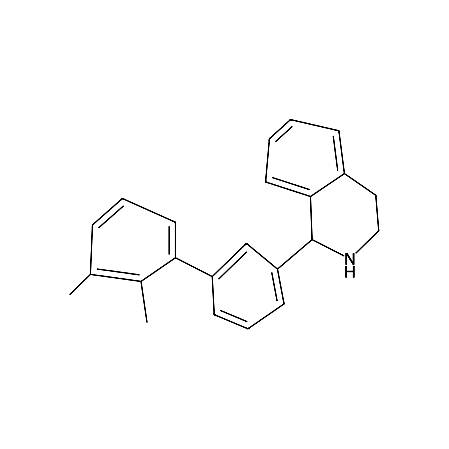 Cc1cccc(-c2cccc(C3NCCc4ccccc43)c2)c1C